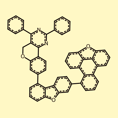 c1ccc(-c2nc(-c3ccccc3)c3c(n2)-c2ccc(-c4cccc5oc6cc(-c7cccc8c9cccc%10oc%11cccc(c78)c%11c%109)ccc6c45)cc2OC3)cc1